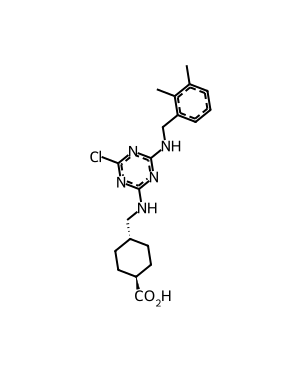 Cc1cccc(CNc2nc(Cl)nc(NC[C@H]3CC[C@H](C(=O)O)CC3)n2)c1C